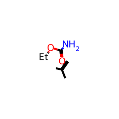 C=C(C)C.CCOC(N)=O